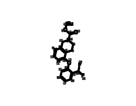 CC(C)(C)OC(=O)N1CCc2c(ncnc2Oc2ccccc2C(F)F)C1